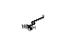 CC(=O)NC(CO)(CO)CCc1ccc(CCCCCCCCF)cc1